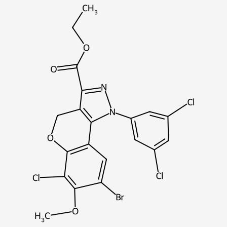 CCOC(=O)c1nn(-c2cc(Cl)cc(Cl)c2)c2c1COc1c-2cc(Br)c(OC)c1Cl